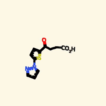 O=C(O)CCC(=O)c1ccc(-n2cccn2)s1